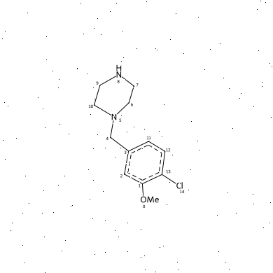 COc1cc(CN2CCNCC2)ccc1Cl